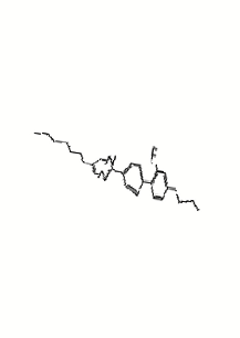 CCCCCCCc1cnc(-c2ccc(-c3ccc(CCCC)cc3F)cc2)nc1